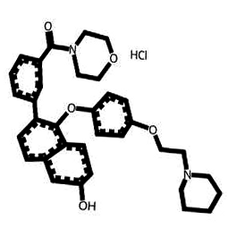 Cl.O=C(c1cccc(-c2ccc3cc(O)ccc3c2Oc2ccc(OCCN3CCCCC3)cc2)c1)N1CCOCC1